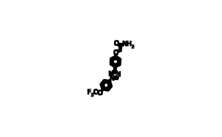 NC(=O)COc1ccc(-c2ncn(-c3ccc(OC(F)(F)F)cc3)n2)cc1